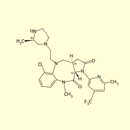 Cc1cc(C(F)(F)F)cc(N2C(=O)C[C@@H]3CN(CCN4CCN[C@H](C)C4)c4c(Cl)cccc4N(C)C(=O)[C@H]32)n1